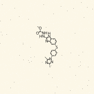 COC(=O)NNc1nc2cc(Sc3ccc(-n4nc(C)nc4C)cc3)ccc2[nH]1